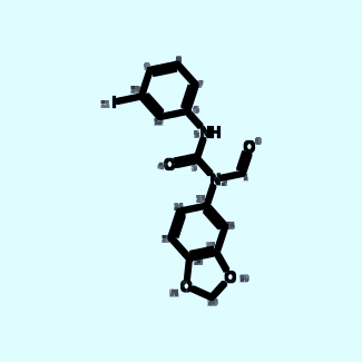 O=CN(C(=O)Nc1cccc(I)c1)c1ccc2c(c1)OCO2